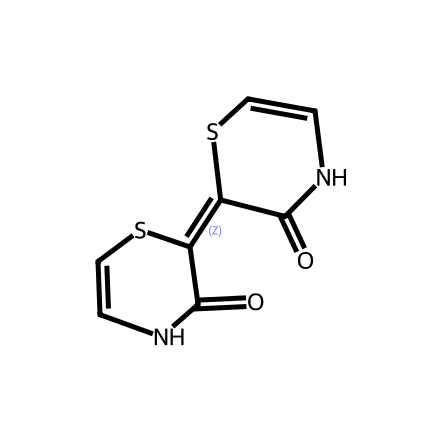 O=C1NC=CS/C1=C1\SC=CNC1=O